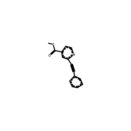 COC(=O)c1ccnc(C#Cc2ccccc2)c1